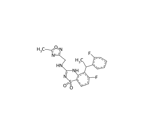 Cc1nc(CNC2=NS(=O)(=O)c3ccc(F)c(C(C)c4ccccc4F)c3N2)no1